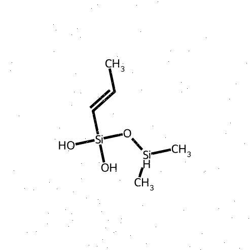 CC=C[Si](O)(O)O[SiH](C)C